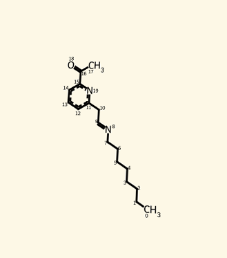 CCCCCCCCN=CCc1cccc(C(C)=O)n1